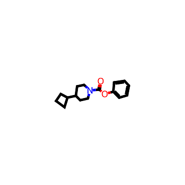 O=C(Oc1ccccc1)N1CCC(C2CCC2)CC1